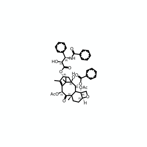 CC(=O)O[C@@H]1C(=O)[C@@]2(C)CC[C@@H]3OC[C@]3(OC(C)=O)C2[C@@H](OC(=O)c2ccccc2)[C@@]2(O)C[C@@H](OC(=O)[C@@H](O)[C@H](NC(=O)c3ccccc3)c3ccccc3)C(C)=C1C2(C)C